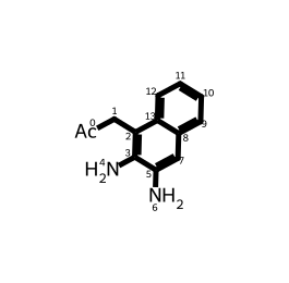 CC(=O)Cc1c(N)c(N)cc2ccccc12